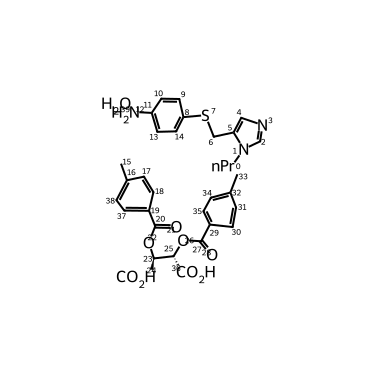 CCCn1cncc1CSc1ccc(N)cc1.Cc1ccc(C(=O)O[C@H](C(=O)O)[C@H](OC(=O)c2ccc(C)cc2)C(=O)O)cc1.O